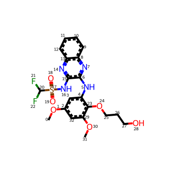 COc1cc(Nc2nc3ccccc3nc2NS(=O)(=O)C(F)F)c(OCCCO)c(OC)c1